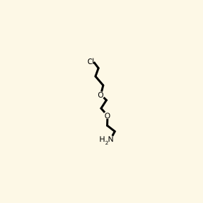 NCCOCCOCCCCl